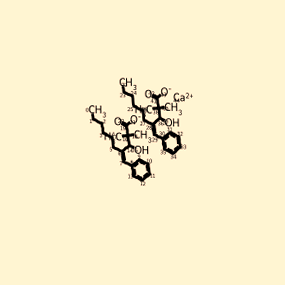 CCCCCCC(=Cc1ccccc1)C(O)C(C)(C)C(=O)[O-].CCCCCCC(=Cc1ccccc1)C(O)C(C)(C)C(=O)[O-].[Ca+2]